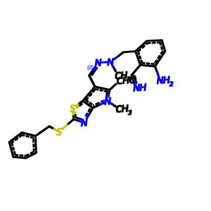 CN(Cc1cccc(N)c1C=N)/N=C\c1c(C=O)n(C)c2nc(SCc3ccccc3)sc12